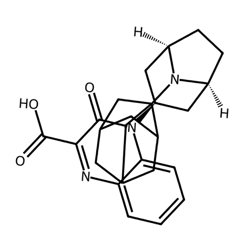 O=C(O)c1nc2ccccc2n([C@H]2C[C@H]3CC[C@@H](C2)N3C23CC4CC(CC2C4)C3)c1=O